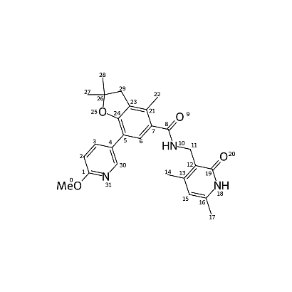 COc1ccc(-c2cc(C(=O)NCc3c(C)cc(C)[nH]c3=O)c(C)c3c2OC(C)(C)C3)cn1